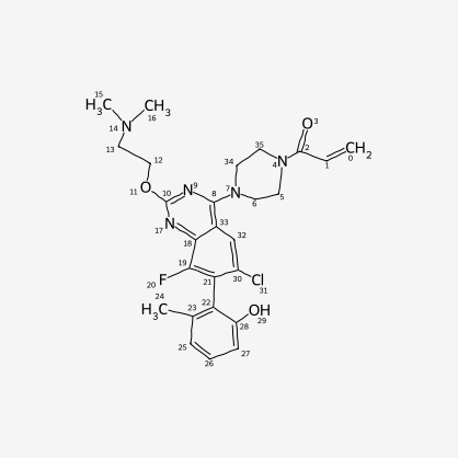 C=CC(=O)N1CCN(c2nc(OCCN(C)C)nc3c(F)c(-c4c(C)cccc4O)c(Cl)cc23)CC1